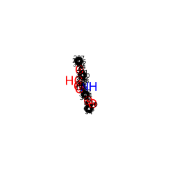 COc1ccccc1COc1ccc(C(=O)N[C@@H](Cc2ccc(OCc3ccccc3)cc2)C(=O)O)cc1